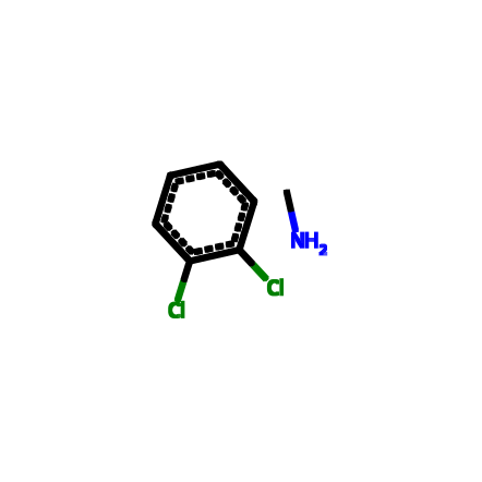 CN.Clc1ccccc1Cl